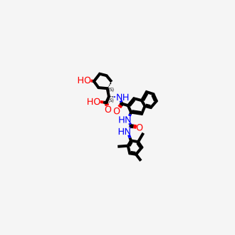 Cc1cc(C)c(NC(=O)Nc2cc3ccccc3cc2C(=O)N[C@H](C(=O)O)[C@H]2CCCC(O)C2)c(C)c1